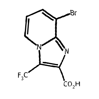 O=C(O)c1nc2c(Br)cccn2c1C(F)(F)F